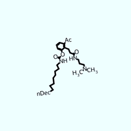 CCCCCCCCCCCCCCCCCCNC(=O)Oc1cccc(C(C)=O)c1CCC(=O)NCCCN(C)C